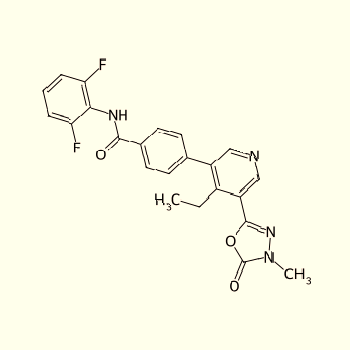 CCc1c(-c2ccc(C(=O)Nc3c(F)cccc3F)cc2)cncc1-c1nn(C)c(=O)o1